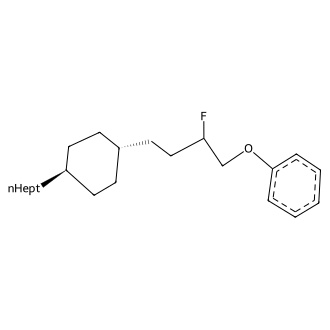 CCCCCCC[C@H]1CC[C@H](CCC(F)COc2ccccc2)CC1